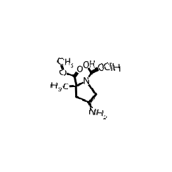 COC(=O)C1(C)CC(N)CN1C(=O)O.Cl